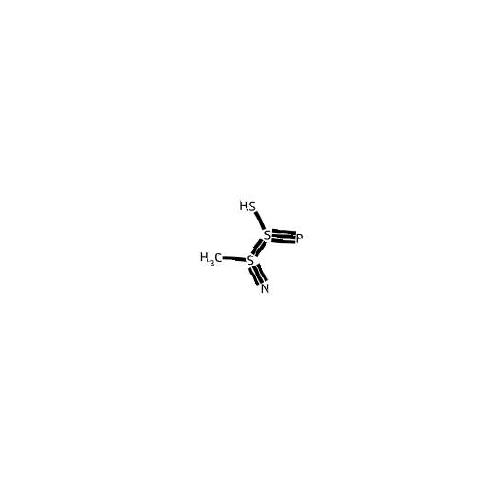 CS(#N)=S(#P)S